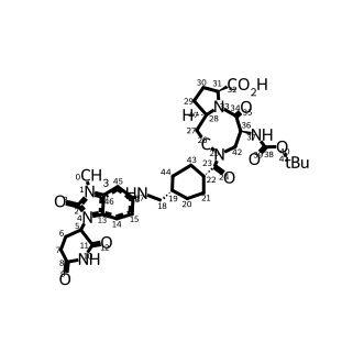 Cn1c(=O)n(C2CCC(=O)NC2=O)c2ccc(NC[C@H]3CC[C@@H](C(=O)N4CC[C@H]5CC[C@@H](C(=O)O)N5C(=O)[C@@H](NC(=O)OC(C)(C)C)C4)CC3)cc21